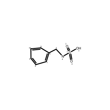 O=S(=O)(O)[N]Cc1ccccc1